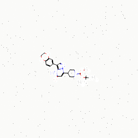 CC(C)(C)OC(=O)N1CCC(c2cc(=O)[nH]c3c(-c4ccc5c(c4)OCCO5)cnn23)CC1